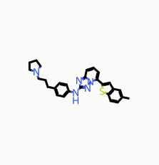 Cc1ccc2sc(-c3cccc4nc(Nc5ccc(CCCN6CCCC6)cc5)nn34)cc2c1